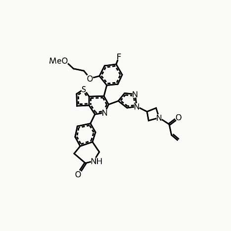 C=CC(=O)N1CC(n2cc(-c3nc(-c4ccc5c(c4)CNC(=O)C5)c4ccsc4c3-c3ccc(F)cc3OCCOC)cn2)C1